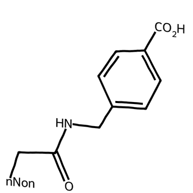 CCCCCCCCCCC(=O)NCc1ccc(C(=O)O)cc1